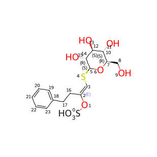 O=S(=O)(O)O/C(=C/S[C@@H]1O[C@H](CO)[C@@H](O)[C@H](O)[C@H]1O)CCc1ccccc1